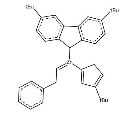 CC(C)(C)C1=CC[C]([Zr](=[CH]Cc2ccccc2)[CH]2c3ccc(C(C)(C)C)cc3-c3cc(C(C)(C)C)ccc32)=C1